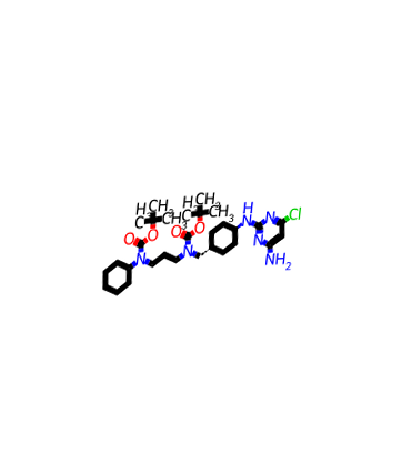 CC(C)(C)OC(=O)N(CCCN(C(=O)OC(C)(C)C)C1CCCCC1)C[C@H]1CC[C@H](Nc2nc(N)cc(Cl)n2)CC1